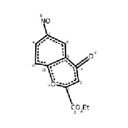 CCOC(=O)c1cc(=O)c2cc(N=O)ccc2o1